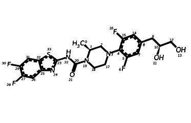 C[C@H]1CN(c2c(F)cc(C[C@H](O)CO)cc2F)CCN1C(=O)Nc1nc2cc(F)c(F)cc2s1